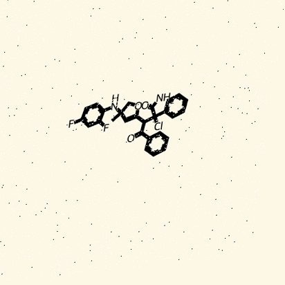 CC1(Nc2ccc(F)cc2F)C=C(C(C(=O)c2ccccc2)C(Cl)(C(N)=O)c2ccccc2)OC1